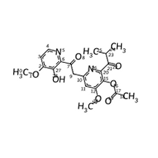 COc1ccnc(C(=O)Cc2cc(OC)c(OC(C)=O)c(C(=O)C(C)C)n2)c1O